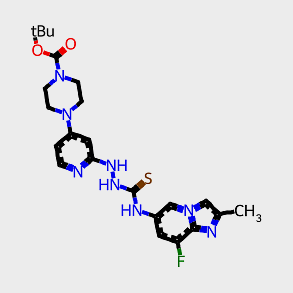 Cc1cn2cc(NC(=S)NNc3cc(N4CCN(C(=O)OC(C)(C)C)CC4)ccn3)cc(F)c2n1